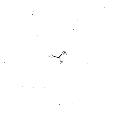 CCC.[Fe]